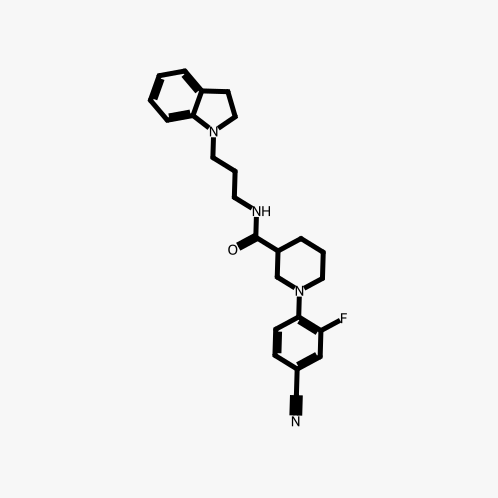 N#Cc1ccc(N2CCCC(C(=O)NCCCN3CCc4ccccc43)C2)c(F)c1